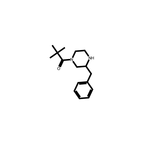 CC(C)(C)C(=O)N1CCNC(Cc2ccccc2)C1